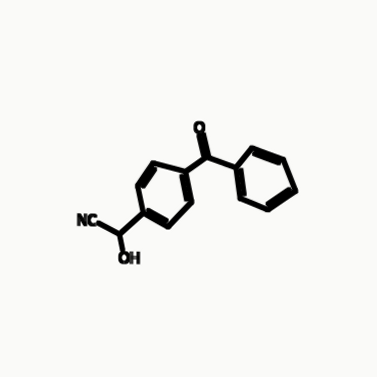 N#CC(O)c1ccc(C(=O)c2ccccc2)cc1